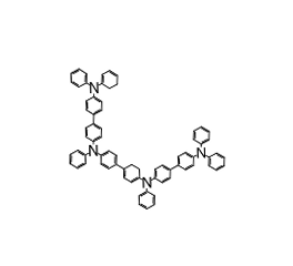 C1=CCCC(N(c2ccccc2)c2ccc(-c3ccc(N(c4ccccc4)c4ccc(C5=CC=C(N(c6ccccc6)c6ccc(-c7ccc(N(c8ccccc8)c8ccccc8)cc7)cc6)CC5)cc4)cc3)cc2)=C1